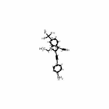 CCn1c(C#Cc2ccc(N)cc2)c(C#N)c2ccc(C(F)(F)F)cc21